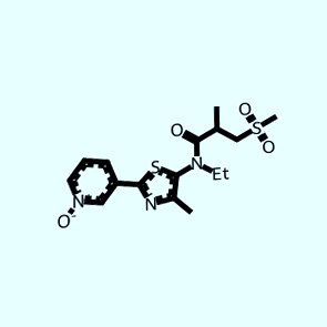 CCN(C(=O)C(C)CS(C)(=O)=O)c1sc(-c2ccc[n+]([O-])c2)nc1C